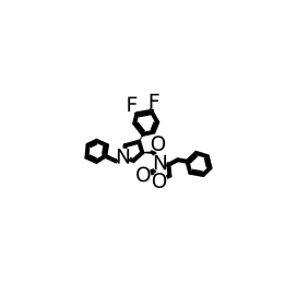 O=C1OCC(Cc2ccccc2)N1C(=O)[C@H]1CN(Cc2ccccc2)C[C@@H]1c1ccc(F)c(F)c1